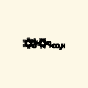 O=C(O)COc1ccc(-c2cc3ccccc3o2)cc1